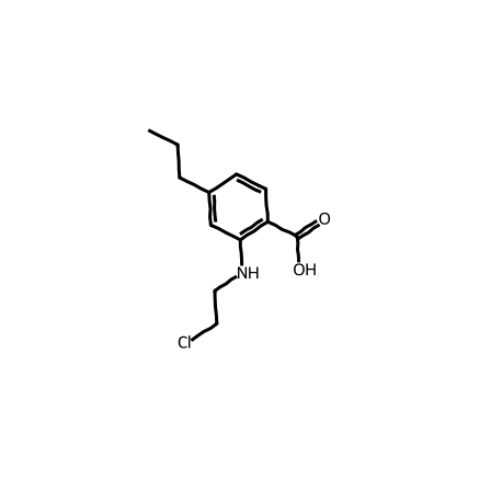 CCCc1ccc(C(=O)O)c(NCCCl)c1